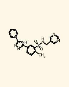 Cc1ccc(-c2nnc(-c3ccccc3)[nH]2)cc1S(=O)(=O)NCc1cncnc1